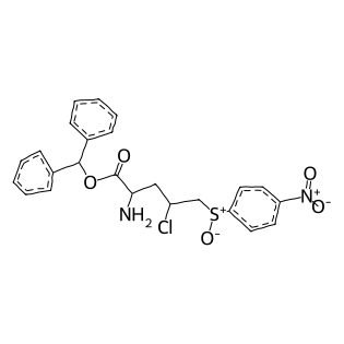 NC(CC(Cl)C[S+]([O-])c1ccc([N+](=O)[O-])cc1)C(=O)OC(c1ccccc1)c1ccccc1